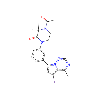 CC(=O)N1CCN(c2cccc(-c3cc(I)c4c(C)ncnn34)c2)C(=O)C1(C)C